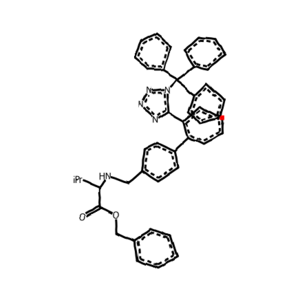 CC(C)C(NCc1ccc(-c2ccccc2-c2nnnn2C(c2ccccc2)(c2ccccc2)c2ccccc2)cc1)C(=O)OCc1ccccc1